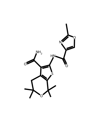 Cc1nc(C(=O)Nc2sc3c(c2C(N)=O)CC(C)(C)OC3(C)C)co1